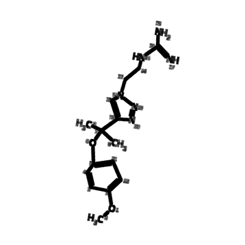 COc1ccc(OC(C)(C)c2cn(CCNC(=N)N)nn2)cc1